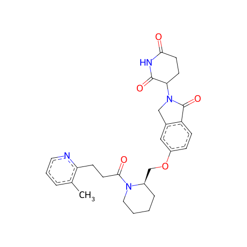 Cc1cccnc1CCC(=O)N1CCCC[C@@H]1COc1ccc2c(c1)CN(C1CCC(=O)NC1=O)C2=O